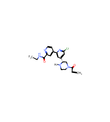 C=CC(=O)N1CCN(C(C)=O)[C@H](c2cc(Cl)nc(-c3ccnc(C(=O)NCC(F)(F)F)c3)c2)C1